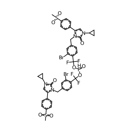 CS(=O)(=O)c1ccc(-c2cn(C3CC3)c(=O)n2Cc2ccc(C(F)(F)O[PH](=O)OC(F)(F)c3ccc(Cn4c(-c5ccc(S(C)(=O)=O)cc5)cn(C5CC5)c4=O)cc3Br)c(Br)c2)cc1